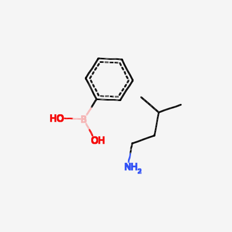 CC(C)CCN.OB(O)c1ccccc1